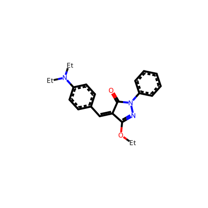 CCOC1=NN(c2ccccc2)C(=O)/C1=C\c1ccc(N(CC)CC)cc1